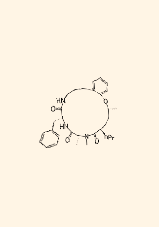 CCC[C@@H]1CC[C@@H](C)Oc2ccccc2CCCNC(=O)[C@@H](Cc2ccccc2)NC(=O)[C@@H](C)N(C)C1=O